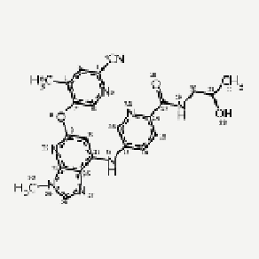 Cc1cc(C#N)ncc1Oc1cc(Nc2ccc(C(=O)NCC(C)O)nc2)c2ncn(C)c2n1